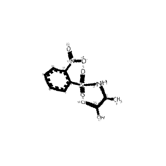 C[C@H](NS(=O)(=O)c1ccccc1[N+](=O)[O-])C(=O)O